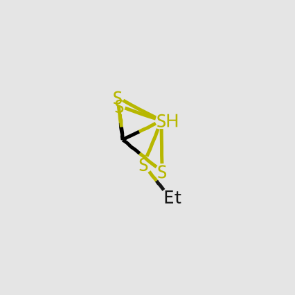 CCS[SH]123SC1(S2)S3